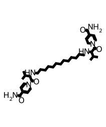 CC(C)C(NCCCCCCCCCCCCCNC(C(=O)N1C=CC(C(N)=O)=CC1)C(C)C)C(=O)N1C=CC(C(N)=O)=CC1